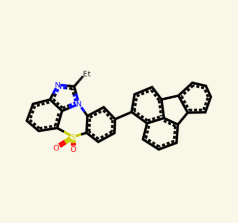 CCc1nc2cccc3c2n1-c1cc(-c2ccc4c5c(cccc25)-c2ccccc2-4)ccc1S3(=O)=O